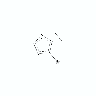 Brc1cscn1.CC